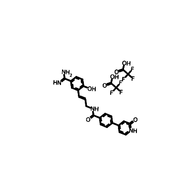 N=C(N)c1ccc(O)c(/C=C/CNC(=O)c2ccc(-c3cc[nH]c(=O)c3)cc2)c1.O=C(O)C(F)(F)F.O=C(O)C(F)(F)F